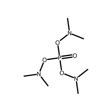 CN(C)OP(=O)(ON(C)C)ON(C)C